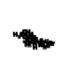 CC(C)(C)OC(=O)N1CCCC1c1ncc(-c2nc3ccc(Br)cc3s2)[nH]1